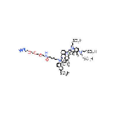 CC1(C)C(/C=C/C2=C(c3ccccc3F)C(=C/C=C3/N(CCCS(=O)(=O)O)c4ccc(N(CCCS(=O)(=O)O)CCCS(=O)(=O)O)cc4C3(C)C)/CCC2)=[N+](CCCCCC(=O)NCCOCCOCCOCCN=[N+]=[N-])c2ccc3cc(S(=O)(=O)O)ccc3c21